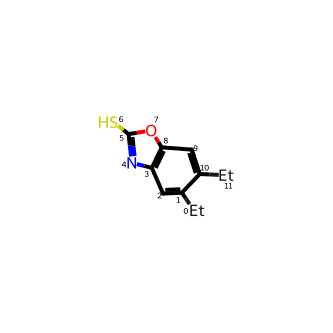 CCc1cc2nc(S)oc2cc1CC